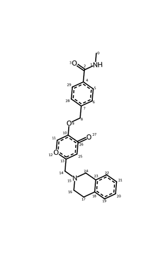 CNC(=O)c1ccc(COc2coc(CN3CCc4ccccc4C3)cc2=O)cc1